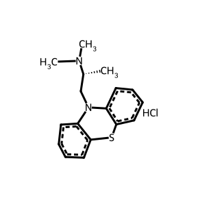 C[C@H](CN1c2ccccc2Sc2ccccc21)N(C)C.Cl